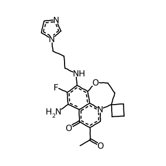 CC(=O)c1cn2c3c(c(NCCCn4ccnc4)c(F)c(N)c3c1=O)OCCC21CCC1